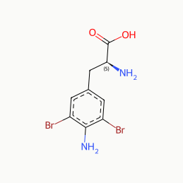 Nc1c(Br)cc(C[C@H](N)C(=O)O)cc1Br